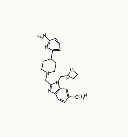 Nc1cccc(C2CCN(Cc3nc4ccc(C(=O)O)cc4n3C[C@@H]3CCO3)CC2)n1